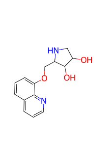 OC1CNC(COc2cccc3cccnc23)C1O